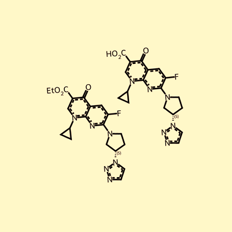 CCOC(=O)c1cn(C2CC2)c2nc(N3CC[C@H](n4ccnn4)C3)c(F)cc2c1=O.O=C(O)c1cn(C2CC2)c2nc(N3CC[C@H](n4ccnn4)C3)c(F)cc2c1=O